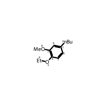 CCCCc1ccc(OCC)c(OC)c1